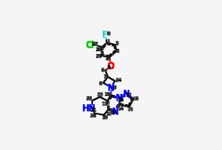 Fc1ccc(OCC2CN(c3c4c(nc5ccnn35)CCNCC4)C2)cc1Cl